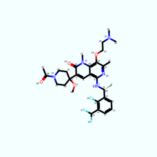 COC1(c2cc3c(N[C@H](C)c4cccc(C(F)F)c4F)nc(C)c(OCCN(C)C)c3n(C)c2=O)CCN(C(C)=O)CC1